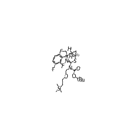 CC(C)(C)OC(=O)N(COCC[Si](C)(C)C)C1=N[C@](CF)(c2cccc(F)c2F)[C@@H]2C[C@@H]2S1